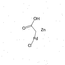 O=C(O)[CH2][Pd][Cl].[Zn]